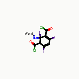 CCCCCNC1(I)C(C(=O)Cl)=C(I)C=C(I)C1C(=O)Cl